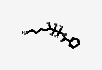 [2H]C(CCCCN)C([2H])([2H])C([2H])([2H])NC(=O)c1ccccc1